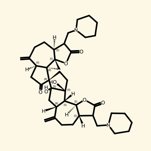 C=C1CC[C@H]2C(CN3CCCCC3)C(=O)O[C@@H]2[C@@H]2[C@H]1C[C@]1(O)[C@]3(CC[C@]21O)C(=O)C[C@H]1C(=C)CC[C@H]2C(CN4CCCCC4)C(=O)O[C@@]24C[C@@]134